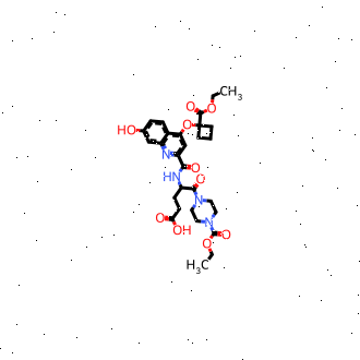 CCOC(=O)N1CCN(C(=O)C(CCC(=O)O)NC(=O)c2cc(OC3(C(=O)OCC)CCC3)c3ccc(O)cc3n2)CC1